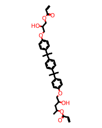 C=CC(=O)OCC(O)COc1ccc(C(C)(C)c2ccc(C(C)(C)c3ccc(OCC(O)CC(C)OC(=O)C=C)cc3)cc2)cc1